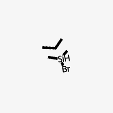 CCC.C[SiH](C)Br